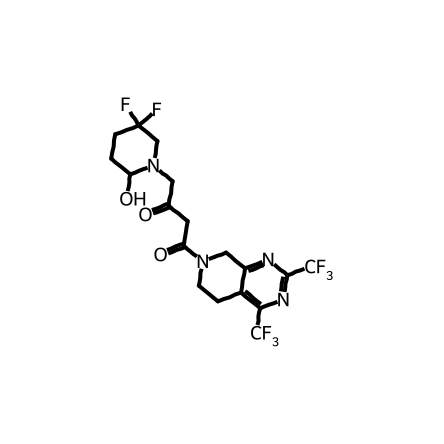 O=C(CC(=O)N1CCc2c(nc(C(F)(F)F)nc2C(F)(F)F)C1)CN1CC(F)(F)CCC1O